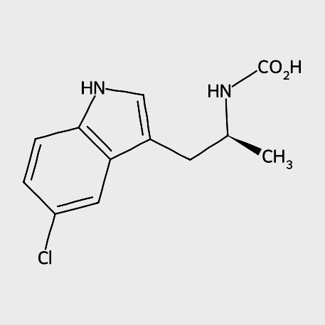 C[C@@H](Cc1c[nH]c2ccc(Cl)cc12)NC(=O)O